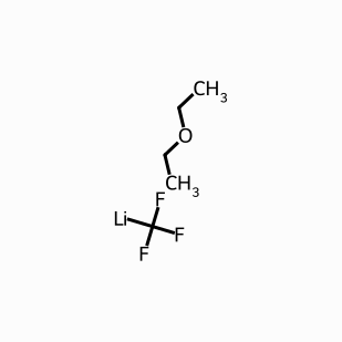 CCOCC.[Li][C](F)(F)F